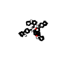 c1ccc2cc3c(cc2c1)c1cc2ccccc2cc1n3-c1ccc2oc3ccccc3c2c1C1=NC(c2ccc3c(c2)sc2ccccc23)=NC(c2ccc3c(c2)oc2ccccc23)N1